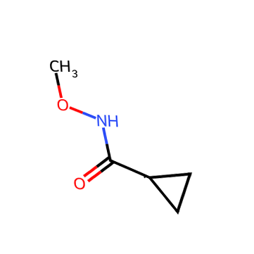 CONC(=O)[C]1CC1